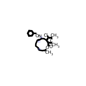 Cc1cc(C)c2c(c1Cl)CC(=N/OCc1ccccc1)/C=C/CC/C=C/C[C@@H](C)OC2=O